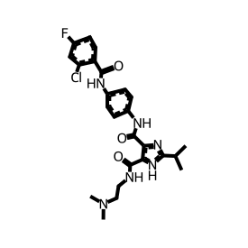 CC(C)c1nc(C(=O)Nc2ccc(NC(=O)c3ccc(F)cc3Cl)cc2)c(C(=O)NCCN(C)C)[nH]1